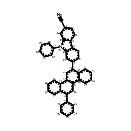 N#Cc1ccc2c3ccc(-c4cc5c6ccccc6c(-c6ccccc6)cc5c5ccccc45)cc3n(-c3ccccc3)c2c1